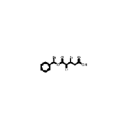 O=C(O)CC(Br)C(=O)C(=O)OC(Br)c1ccccc1